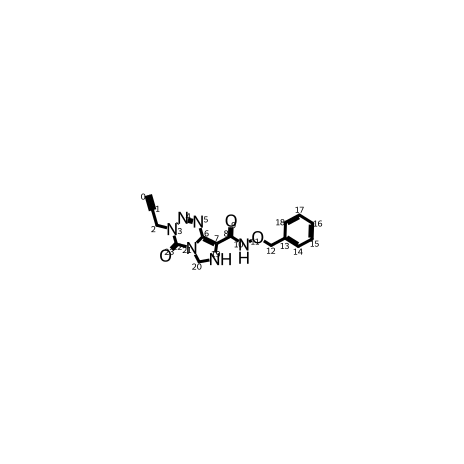 C#CCN1N=NC2=C(C(=O)NOCc3ccccc3)NCN2C1=O